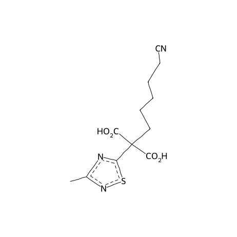 Cc1nsc(C(CCCCCC#N)(C(=O)O)C(=O)O)n1